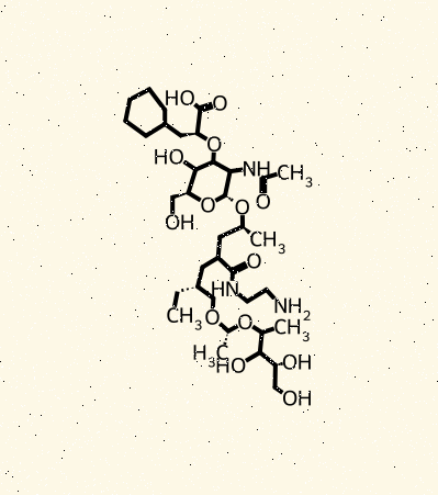 CC[C@@H](CO[C@@H](C)OC(C)C(O)[C@H](O)CO)CC(C[C@H](C)O[C@@H]1O[C@@H](CO)C(O)C(O[C@@H](CC2CCCCC2)C(=O)O)C1NC(C)=O)C(=O)NCCN